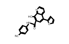 N#Cc1ccc(NC(=O)c2cc(-c3ccco3)c3cccnc3c2O)cc1